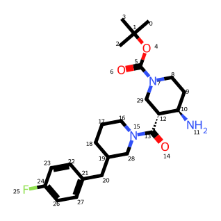 CC(C)(C)OC(=O)N1CC[C@@H](N)[C@H](C(=O)N2CCCC(Cc3ccc(F)cc3)C2)C1